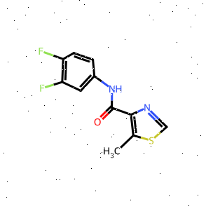 Cc1scnc1C(=O)Nc1ccc(F)c(F)c1